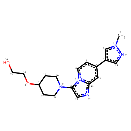 Cn1cc(-c2ccn3c(N4CCC(OCCO)CC4)cnc3c2)cn1